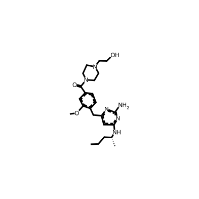 CCC[C@@H](C)Nc1cc(Cc2ccc(C(=O)N3CCN(CCO)CC3)cc2OC)nc(N)n1